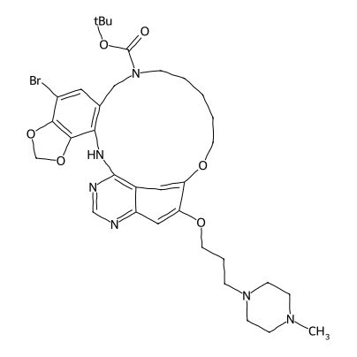 CN1CCN(CCCOc2cc3ncnc4c3cc2OCCCCCN(C(=O)OC(C)(C)C)Cc2cc(Br)c3c(c2N4)OCO3)CC1